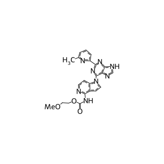 COCCOC(=O)Nc1nccc2c1ccn2-c1nc(-c2cccc(C)n2)nc2[nH]cnc12